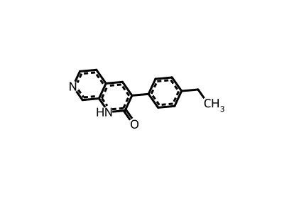 CCc1ccc(-c2cc3ccncc3[nH]c2=O)cc1